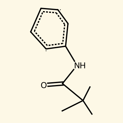 CC(C)(C)C(=O)Nc1[c]cc[c]c1